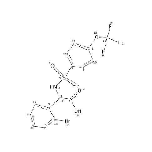 O=C(O)[C@@H](NS(=O)(=O)c1ccc(OC(F)(F)F)cc1)c1ccccc1Br